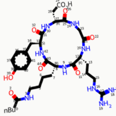 CCCCC(=O)NCCCC[C@H]1NC(=O)[C@@H](CCCNC(=N)N)NC(=O)CNC(=O)[C@@H](CC(=O)O)NC(=O)[C@H](Cc2ccc(O)cc2)NC1=O